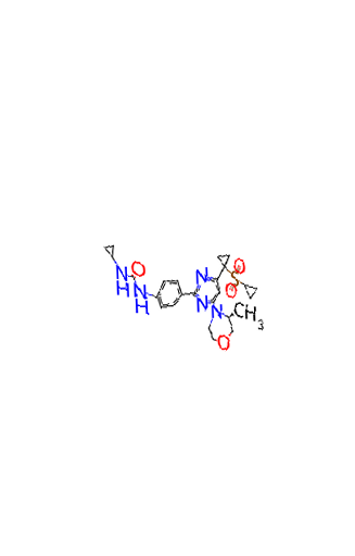 C[C@H]1COCCN1c1cc(C2(S(=O)(=O)C3CC3)CC2)nc(-c2ccc(NC(=O)NC3CC3)cc2)n1